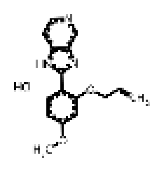 C=CCOc1cc(OC)ccc1-c1nc2cnccc2[nH]1.Cl